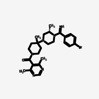 Cc1ncnc(C)c1C(=O)N1CCC(C)(N2CCN(C(=N)c3ccc(Br)cc3)[C@@H](C)C2)CC1